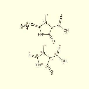 CN1C(=O)NC(=O)C1C(=O)O.CN1C(=O)NC(=O)C1C(=O)O.[Au].[NaH]